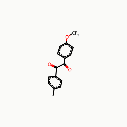 Cc1ccc(C(=O)C(=O)c2ccc(OC(F)(F)F)cc2)cc1